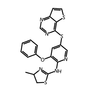 CC1CSC(Nc2ncc(Sc3ncnc4ccsc34)cc2Oc2ccccc2)=N1